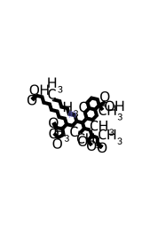 CCCCC/C=C/C(CC(CCCCCCCC(=O)O)C1CC(=O)OC1=O)C(C1CCC2C(C)(CCCC2(C)C(=O)O)C1)C(C(C)C)C(C)C1C(=O)OC(=O)C1C